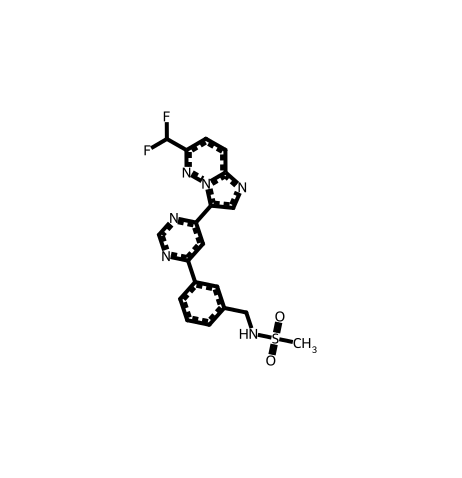 CS(=O)(=O)NCc1cccc(-c2cc(-c3cnc4ccc(C(F)F)nn34)ncn2)c1